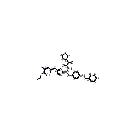 CCOC(=O)/C(C)=C\C(C)=C\c1csc([C@H](Cc2ccc(OCc3ccccc3)cc2)NC(=O)C(=O)C2CCCC2)n1